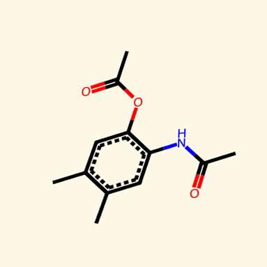 CC(=O)Nc1cc(C)c(C)cc1OC(C)=O